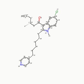 C[C@H](CC(=O)O)CC(=O)c1c(CCCCCCc2ccncc2)n(C)c2ccc(Cl)cc12